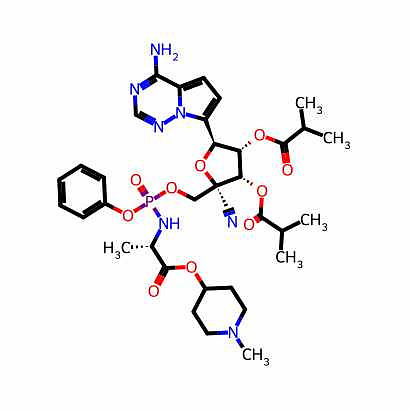 CC(C)C(=O)O[C@H]1[C@H](c2ccc3c(N)ncnn23)O[C@](C#N)(COP(=O)(N[C@@H](C)C(=O)OC2CCN(C)CC2)Oc2ccccc2)[C@H]1OC(=O)C(C)C